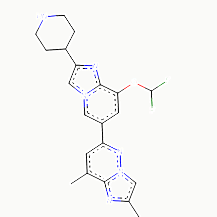 Cc1cn2nc(-c3cc(OC(F)F)c4nc(C5CCNCC5)cn4c3)cc(C)c2n1